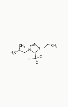 CCCN1N=CN(CC(C)C)C1C(Cl)(Cl)Cl